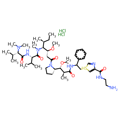 CC[C@H](C)[C@@H]([C@@H](CC(=O)N1CCC[C@H]1[C@H](OC)[C@H](C)C(=O)NC(C[SH]1C=NC(C(=O)NCCN)=C1)c1ccccc1)OC)N(C)C(=O)[C@@H](NC(=O)[C@H](C(C)C)N(C)C)C(C)C.Cl.Cl